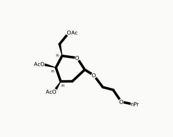 CCCOCCOC1C[C@@H](OC(C)=O)[C@@H](OC(C)=O)[C@@H](COC(C)=O)O1